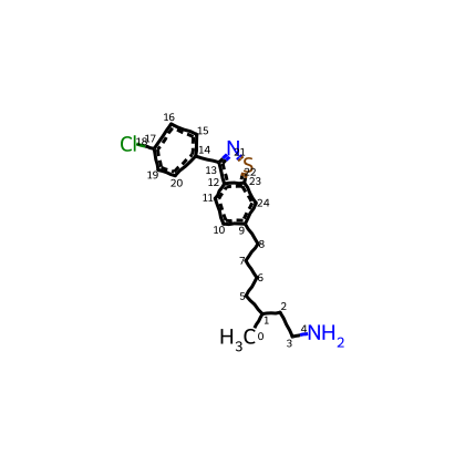 CC(CCN)CCCCc1ccc2c(-c3ccc(Cl)cc3)nsc2c1